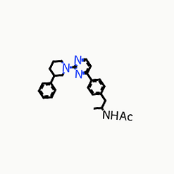 CC(=O)NC(C)Cc1ccc(-c2ccnc(N3CCCC(c4ccccc4)C3)n2)cc1